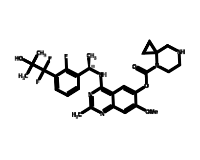 COc1cc2nc(C)nc(N[C@H](C)c3cccc(C(F)(F)C(C)(C)O)c3F)c2cc1OC(=O)N1CCNCC12CC2